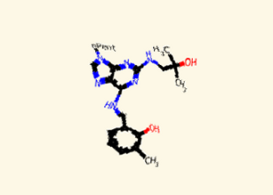 CCCCCn1cnc2c(NCc3cccc(C)c3O)nc(NCC(C)(C)O)nc21